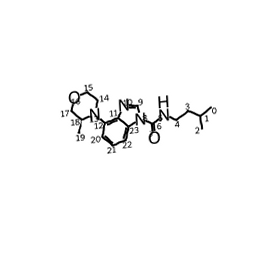 CC(C)CCNC(=O)n1cnc2c(N3CCOC[C@@H]3C)cccc21